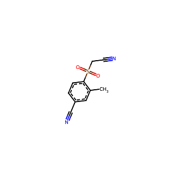 Cc1cc(C#N)ccc1S(=O)(=O)CC#N